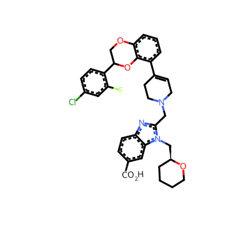 O=C(O)c1ccc2nc(CN3CC=C(c4cccc5c4OC(c4ccc(Cl)cc4F)CO5)CC3)n(C[C@@H]3CCCCO3)c2c1